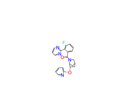 O=C(c1cccc(F)c1-c1ncccn1)N1CC2CC(Oc3ccccn3)C1C2